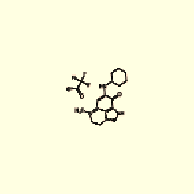 C[N+]1=C2C=C(NC3CCCCC3)C(=O)c3[nH]cc(c32)CC1.O=C([O-])C(F)(F)F